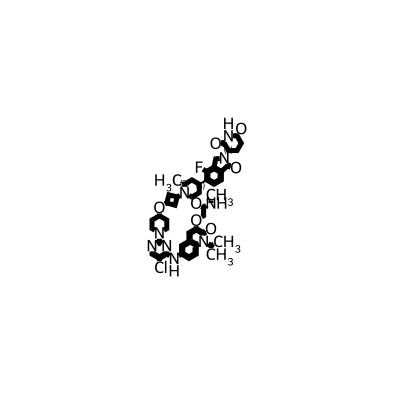 CNC(=O)COc1cc2cc(Nc3nc(N4CCC(OC5CC(N6CC[C@H](c7ccc8c(c7F)CN([C@H]7CCC(=O)NC7=O)C8=O)C[C@H]6C)C5)CC4)ncc3Cl)ccc2n(C(C)C)c1=O